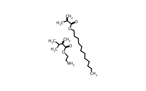 C=C(C(=O)OCCN)C(C)C.C=C(C)C(=O)OCCCCCCCCCCCC